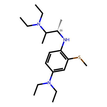 CCN(CC)c1ccc(N[C@@H](C)C(C)N(CC)CC)c(SC)c1